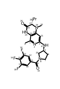 Cc1nc(N[C@H]2CCN(C(=O)c3cc(F)c(F)c(F)c3)C2)cc2c1NC(=O)[C@H](C(C)C)N2C